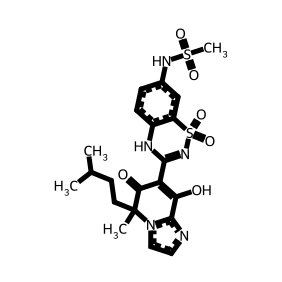 CC(C)CCC1(C)C(=O)C(C2=NS(=O)(=O)c3cc(NS(C)(=O)=O)ccc3N2)=C(O)c2nccn21